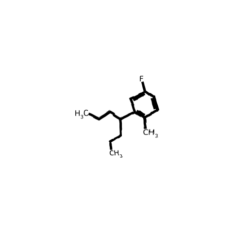 CCCC(CCC)c1cc(F)ccc1C